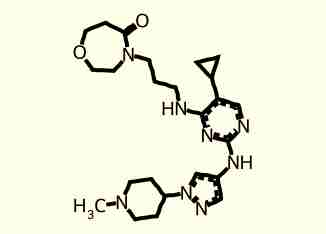 CN1CCC(n2cc(Nc3ncc(C4CC4)c(NCCCN4CCOCCC4=O)n3)cn2)CC1